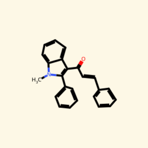 Cn1c(-c2ccccc2)c(C(=O)C=Cc2ccccc2)c2ccccc21